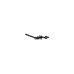 CCCCCCCCCCCCOc1ccc(-c2ncc(CCC3CCC(CC)CC3)cn2)cc1